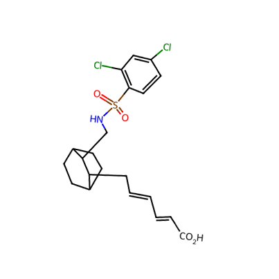 O=C(O)C=CC=CCC1C2CCC(CC2)C1CNS(=O)(=O)c1ccc(Cl)cc1Cl